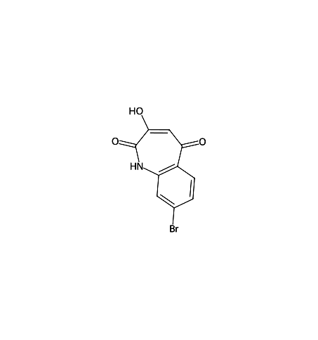 O=c1[nH]c2cc(Br)ccc2c(=O)cc1O